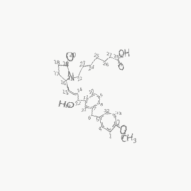 COc1ccc(Cc2cccc(C(O)C=C[C@H]3CCC(=O)N3CCCCCCC(=O)O)c2)cc1